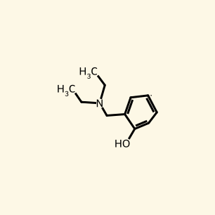 CCN(CC)Cc1c[c]ccc1O